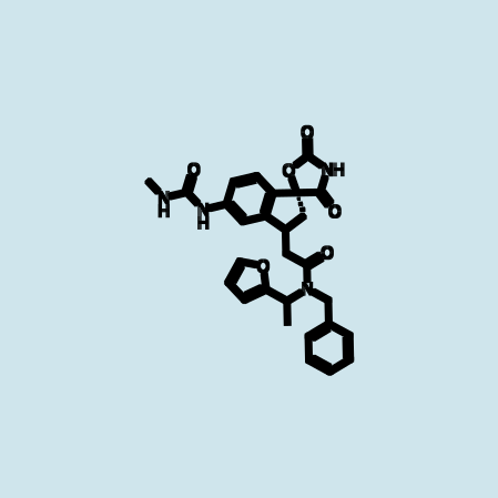 CNC(=O)Nc1ccc2c(c1)C(CC(=O)N(Cc1ccccc1)C(C)c1ccco1)C[C@@]21OC(=O)NC1=O